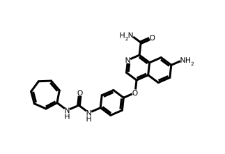 NC(=O)c1ncc(Oc2ccc(NC(=O)NC3=CC=CCC=C3)cc2)c2ccc(N)cc12